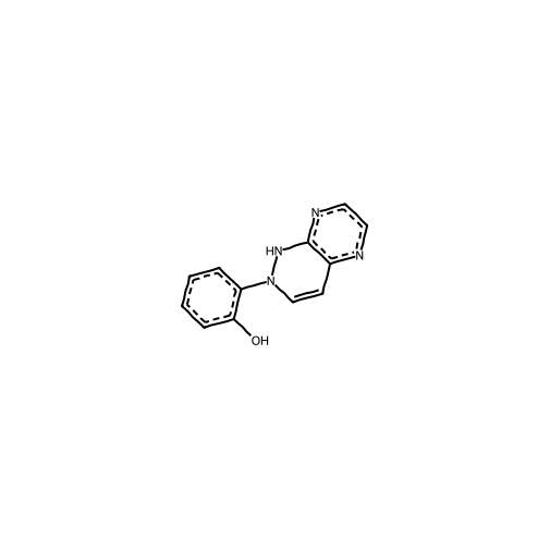 Oc1ccccc1N1C=Cc2nccnc2N1